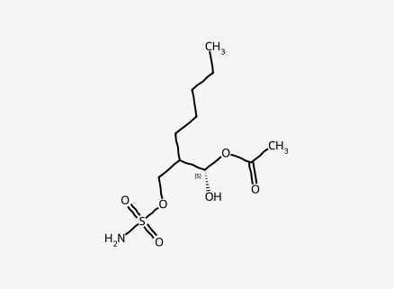 CCCCCC(COS(N)(=O)=O)[C@@H](O)OC(C)=O